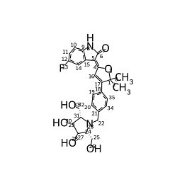 CC1(C)OC(=C2C(=O)Nc3ccc(F)cc32)C=C1c1ccc(CN2[C@H](CO)[C@@H](O)[C@H](O)[C@@H]2CO)cc1